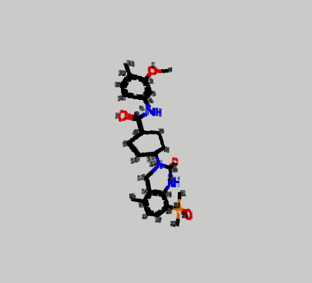 COc1cc(NC(=O)C2CCC(N3Cc4c(C)ccc(P(C)(C)=O)c4NC3=O)CC2)ccc1C